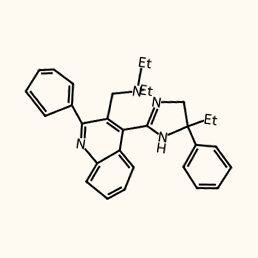 CCN(CC)Cc1c(-c2ccccc2)nc2ccccc2c1C1=NCC(CC)(c2ccccc2)N1